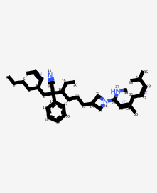 C/C=C\C(CCCC)CC(C#N)(c1ccccc1)C(CC)CCCC1CN(C(/C=C(/C)C/C=C\C(C)C)NC)C1